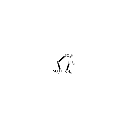 CC.O=S(=O)(O)SS(=O)(=O)O